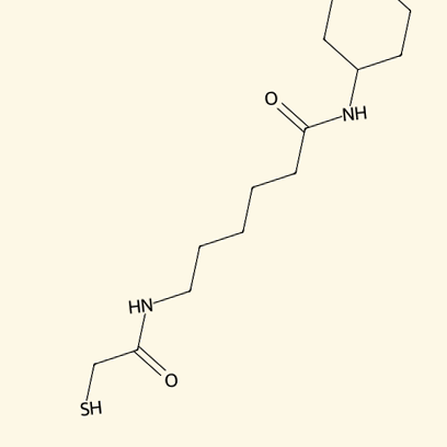 O=C(CS)NCCCCCC(=O)NC1CCCCC1